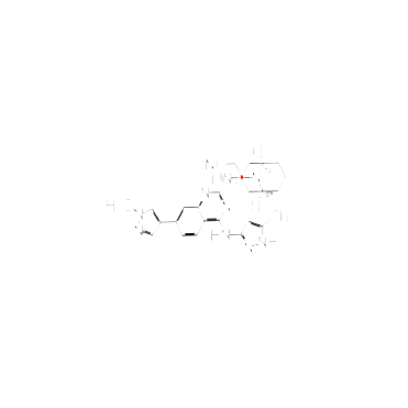 Cc1cc(Nc2nc(N[C@@H]3C[C@H]4CCC[C@@H](C3)N4CCC#N)nc3cc(-c4cnn(C)c4)ccc23)n[nH]1